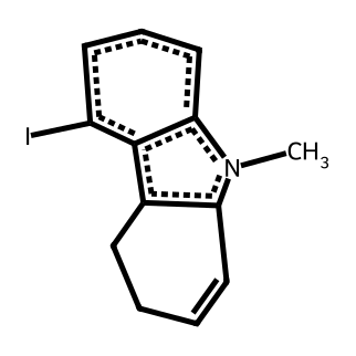 Cn1c2c(c3c(I)cccc31)CCC=C2